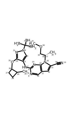 BC(B)(B)n1cc(Nc2ncc3cc(C#N)n([C@@H](C)COC)c3n2)c(OC2CCC2C)n1